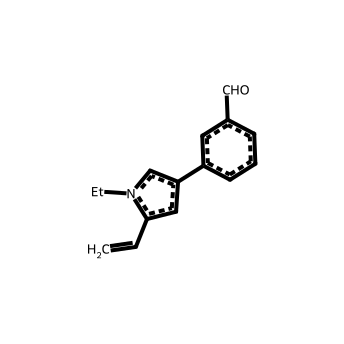 C=Cc1cc(-c2cccc(C=O)c2)cn1CC